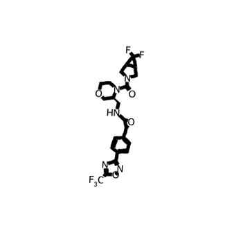 O=C(N1CC2C(C1)C2(F)F)N1CCOC[C@@H]1CNC1OC1c1ccc(-c2noc(C(F)(F)F)n2)cc1